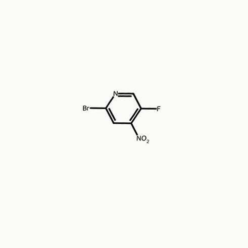 O=[N+]([O-])c1cc(Br)ncc1F